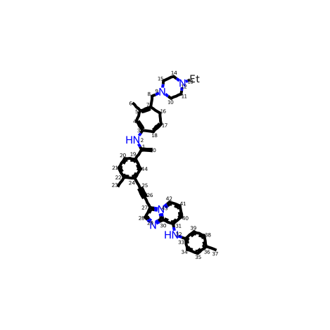 C=C(NC1=CC(C)=C(CN2CCN(CC)CC2)CC=C1)c1ccc(C)c(C#Cc2cnc3c(Nc4ccc(C)cc4)cccn23)c1